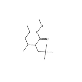 CCCC(C)C(CC(C)(C)C)C(=O)OOC